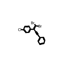 Clc1ccc(C(C#Cc2ccccc2)=C(Br)Br)cc1